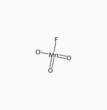 [O]=[Mn](=[O])([O-])[F]